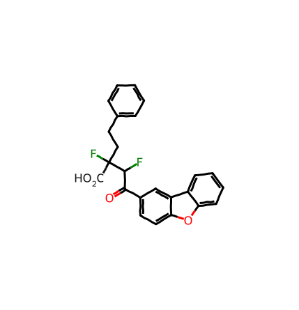 O=C(c1ccc2oc3ccccc3c2c1)C(F)C(F)(CCc1ccccc1)C(=O)O